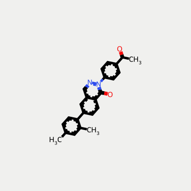 CC(=O)c1ccc(-n2ncc3cc(-c4ccc(C)cc4C)ccc3c2=O)cc1